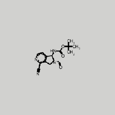 CC(C)(C)OC(=O)NC1c2ccnc(C#N)c2C[C@H]1C=O